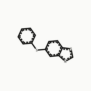 c1ccc(Sc2ccc3scnc3c2)cc1